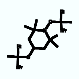 CCCC(C)(CC)OC1CC(C)(C)N(OC(C)(CC)CCC)C(C)(C)C1